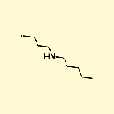 [CH2]CC[CH]NCCCCC